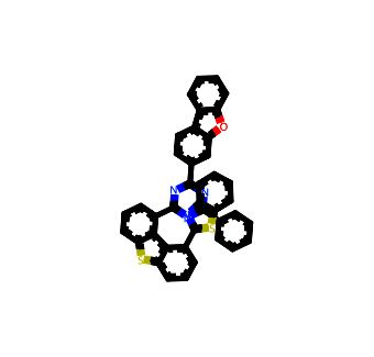 c1ccc(-c2nc(-c3ccc4c(c3)oc3ccccc34)nc(-c3cccc4sc5cccc(-c6nc7ccccc7s6)c5c34)n2)cc1